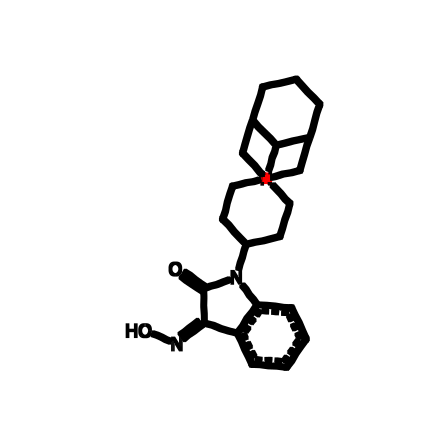 O=C1/C(=N\O)c2ccccc2N1C1CCN(C2C3CCCC2CCC3)CC1